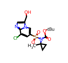 CC(C)(C)OC(=O)N(C1(C)CC1)S(=O)(=O)c1cc(Cl)c2ncc(CO)n2c1